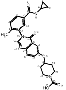 Cc1ccc(C(=O)NC2CC2)cc1-n1cnc2ccc(OC3CCN(C(=O)O)CC3)cc2c1=O